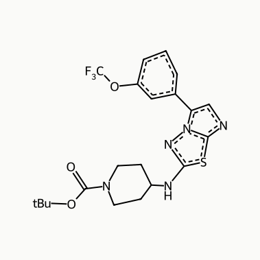 CC(C)(C)OC(=O)N1CCC(Nc2nn3c(-c4cccc(OC(F)(F)F)c4)cnc3s2)CC1